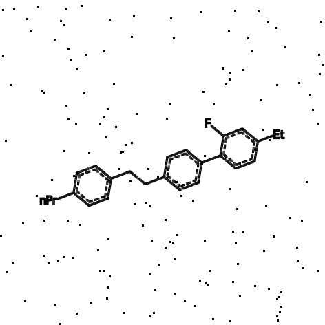 CCCc1ccc(CCc2ccc(-c3ccc(CC)cc3F)cc2)cc1